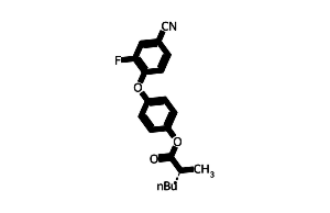 CCCC[C@@H](C)C(=O)Oc1ccc(Oc2ccc(C#N)cc2F)cc1